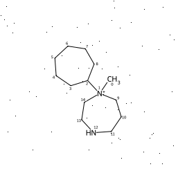 C[N+]1(C2CCCCCC2)CCCNCC1